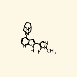 Cn1ncc(-c2cc3c(N4CC5CCC(C4)N5)ccnc3[nH]2)c1F